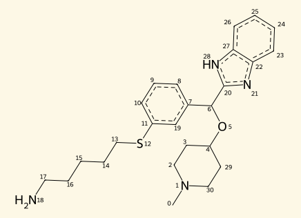 CN1CCC(OC(c2cccc(SCCCCCN)c2)c2nc3ccccc3[nH]2)CC1